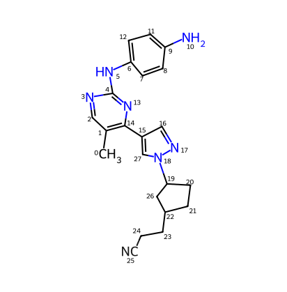 Cc1cnc(Nc2ccc(N)cc2)nc1-c1cnn(C2CCC(CCC#N)C2)c1